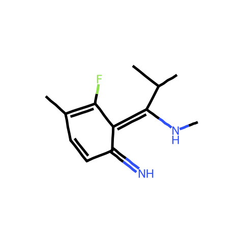 CN/C(=C1\C(=N)C=CC(C)=C1F)C(C)C